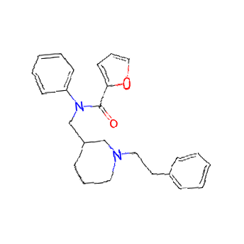 O=C(c1ccco1)N(CC1CCCN(CCc2ccccc2)C1)c1ccccc1